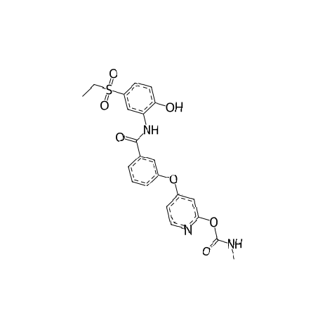 CCS(=O)(=O)c1ccc(O)c(NC(=O)c2cccc(Oc3ccnc(OC(=O)NC)c3)c2)c1